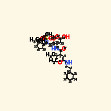 CC(C)C(CC(=O)NCCc1ccccc1)C(=O)NC(CC(=O)O)C(=O)CN(C12CCC(CC1=O)C2(C)C)S(C)(=O)=O